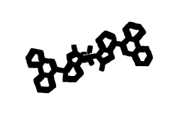 CC1=Cc2c(-c3cc4ccccc4c4ccccc34)cccc2C1[Si](C)(C)C1C(C)=Cc2c(-c3cc4ccccc4c4ccccc34)cccc21